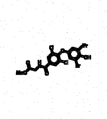 COC(=O)CNC(=O)c1cc(Cl)c(Oc2cc(Br)c(O)c(C(C)C)c2)c(Cl)c1